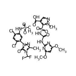 COc1cc(OC)nc(NC(=O)NS(=O)(=O)c2c(C(=O)O)cnn2C)n1.Cc1nn(-c2cc(NS(C)(=O)=O)c(Cl)cc2Cl)c(=O)n1C(F)F